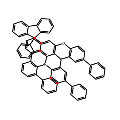 c1ccc(-c2ccc3c(c2)B2c4cc(-c5ccccc5)ccc4N(c4c(-c5ccccc5)cccc4-c4ccccc4)c4cc(C5(c6ccccc6)c6ccccc6-c6ccccc65)cc(c42)O3)cc1